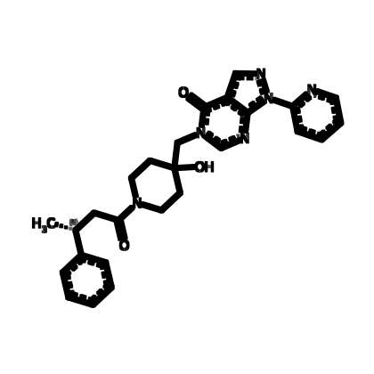 C[C@H](CC(=O)N1CCC(O)(Cn2cnc3c(cnn3-c3ccccn3)c2=O)CC1)c1ccccc1